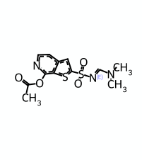 CC(=O)Oc1nccc2cc(S(=O)(=O)/N=C/N(C)C)sc12